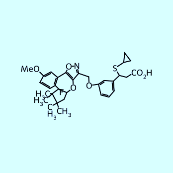 COc1ccc(F)c(-c2onc(COc3cccc(C(CC(=O)O)SC4CC4)c3)c2OC2CC(C)(C)C(C)(C)C2)c1